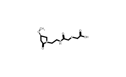 CO[C@@H]1CC(=O)N(CCNC(=O)CSCC(=O)O)C1